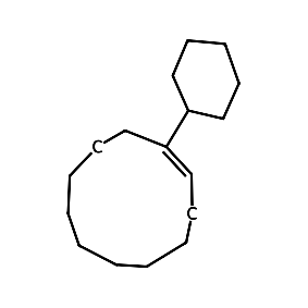 C1=C(C2CCCCC2)CCCCCCCCC1